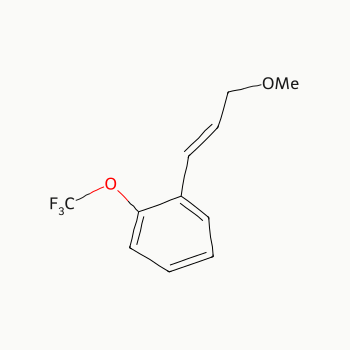 [CH2]OCC=Cc1ccccc1OC(F)(F)F